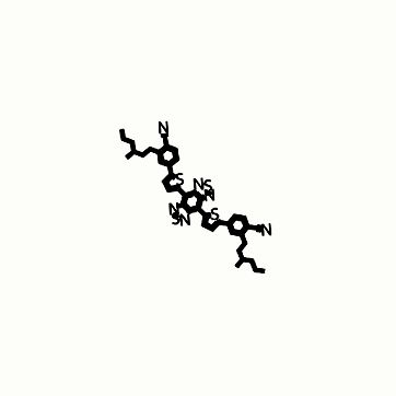 CCCC(C)CCc1cc(-c2ccc(-c3c4c(c(-c5ccc(-c6ccc(C#N)c(CCC(C)CCC)c6)s5)c5nsnc35)N=S=N4)s2)ccc1C#N